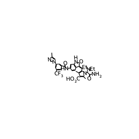 CCN(CC)C(C(N)=O)n1c(C)c(C(=O)O)c(C)c1C=C1C(=O)Nc2cc(NC(=O)c3cc(-n4cnc(C)c4)cc(C(F)(F)F)c3)ccc21